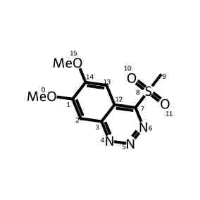 COc1cc2nnnc(S(C)(=O)=O)c2cc1OC